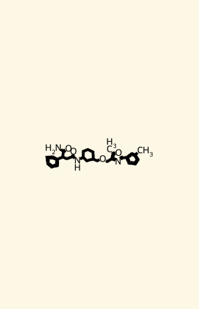 Cc1cccc(-c2nc(COCC3CCCC(NC(=O)CC(C(N)=O)c4ccccc4)C3)c(C)o2)c1